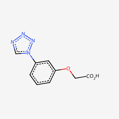 O=C(O)COc1cccc(-n2cnnn2)c1